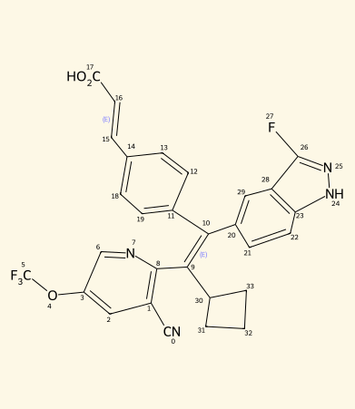 N#Cc1cc(OC(F)(F)F)cnc1/C(=C(\c1ccc(/C=C/C(=O)O)cc1)c1ccc2[nH]nc(F)c2c1)C1CCC1